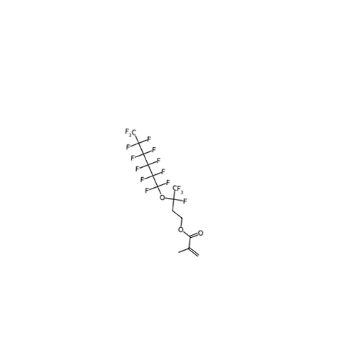 C=C(C)C(=O)OCCC(F)(OC(F)(F)C(F)(F)C(F)(F)C(F)(F)C(F)(F)C(F)(F)F)C(F)(F)F